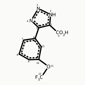 O=C(O)c1[nH]nnc1-c1cccc(OC(F)(F)F)c1